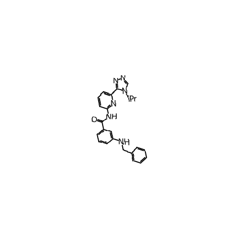 CC(C)n1cnnc1-c1cccc(NC(=O)c2cccc(NCc3ccccc3)c2)n1